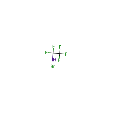 FC(F)(F)C(F)(F)[IH]Br